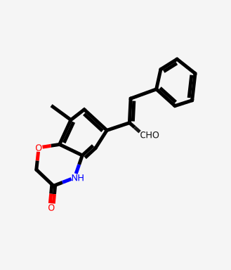 Cc1cc(C(C=O)=Cc2ccccc2)cc2c1OCC(=O)N2